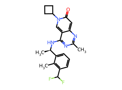 Cc1nc(N[C@H](C)c2cccc(C(F)F)c2C)c2cn(C3CCC3)c(=O)cc2n1